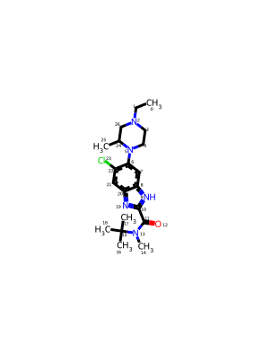 CCN1CCN(c2cc3[nH]c(C(=O)N(C)C(C)(C)C)nc3cc2Cl)C(C)C1